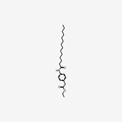 CCCCCCCCCCCCCC(=O)Nc1ccc(CC(=O)OCC)cc1